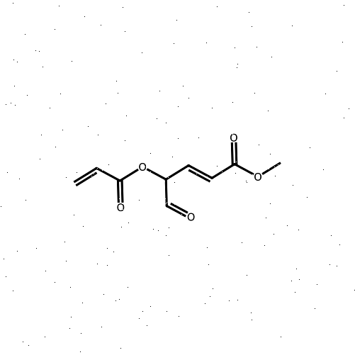 C=CC(=O)OC(C=O)C=CC(=O)OC